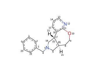 c1ccc(CN2C[C@@H]3CCOc4ncccc4[C@H]3C2)cc1